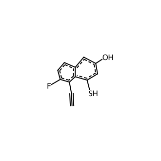 C#Cc1c(F)ccc2cc(O)cc(S)c12